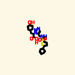 O=C(O)C(Cc1ccc(O)cc1)n1nncc1CNS(=O)(=O)c1ccc(-c2ccccc2)s1